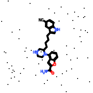 N#Cc1ccc2[nH]cc(CCCCC3CNCCN3c3cccc4oc(C(N)=O)cc34)c2c1